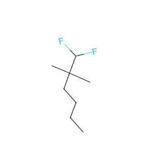 CCCCC(C)(C)C(F)F